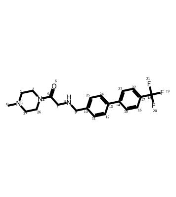 CN1CCN(C(=O)CNCc2ccc(-c3ccc(C(F)(F)F)cc3)cc2)CC1